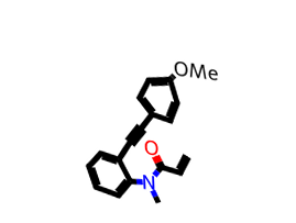 C=CC(=O)N(C)c1ccccc1C#Cc1ccc(OC)cc1